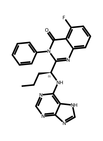 CCC[C@H](Nc1ncnc2nc[nH]c12)c1nc2cccc(F)c2c(=O)n1-c1ccccc1